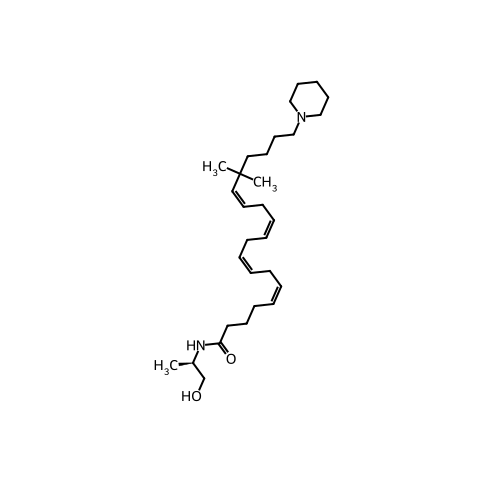 C[C@H](CO)NC(=O)CCC/C=C\C/C=C\C/C=C\C/C=C\C(C)(C)CCCCN1CCCCC1